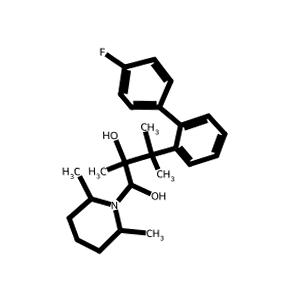 CC1CCCC(C)N1C(O)C(C)(O)C(C)(C)c1ccccc1-c1ccc(F)cc1